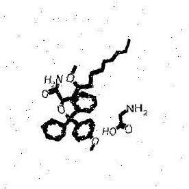 CCCCCCCCC(CC(OC(c1ccccc1)(c1ccccc1)c1ccc(OC)cc1)C(N)=O)OC.NCC(=O)O